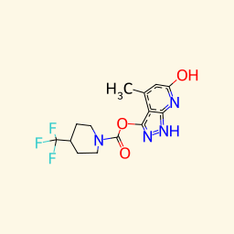 Cc1cc(O)nc2[nH]nc(OC(=O)N3CCC(C(F)(F)F)CC3)c12